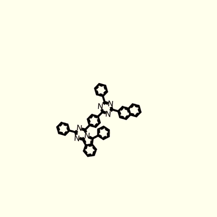 c1ccc(-c2nc(-c3ccc(-c4nc(-c5ccccc5)nc5c6ccccc6c(-c6ccccc6)n45)cc3)nc(-c3ccc4ccccc4c3)n2)cc1